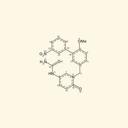 COc1ccc(Cn2cc(NC(N)=O)ccc2=O)cc1-c1cccc([N+](=O)[O-])c1